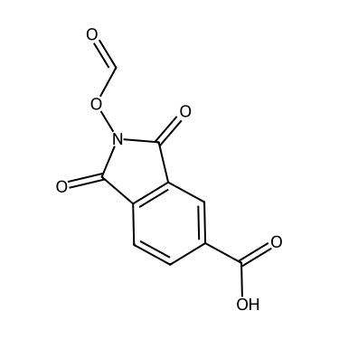 O=CON1C(=O)c2ccc(C(=O)O)cc2C1=O